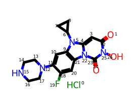 Cl.O=c1cc2n(C3CC3)c3cc(N4CCNCC4)c(F)cc3n2c(=O)n1O